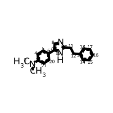 CN(C)c1ccc(-c2cnc(CCc3ccccc3)[nH]2)cc1